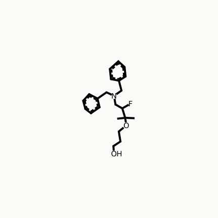 CC(C)(OCCCO)C(F)CN(Cc1ccccc1)Cc1ccccc1